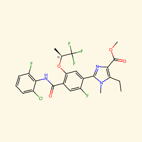 CCc1c(C(=O)OC)nc(-c2cc(O[C@@H](C)C(F)(F)F)c(C(=O)Nc3c(F)cccc3Cl)cc2F)n1C